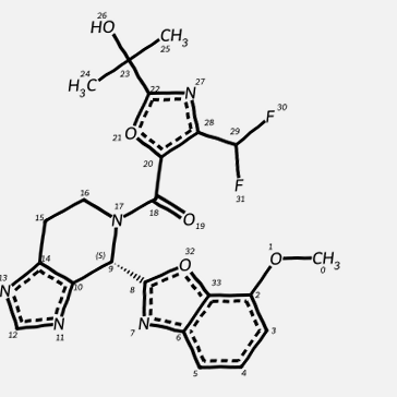 COc1cccc2nc([C@@H]3c4nc[nH]c4CCN3C(=O)c3oc(C(C)(C)O)nc3C(F)F)oc12